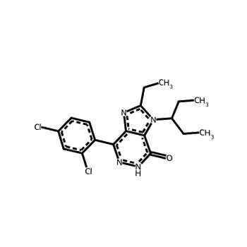 CCc1nc2c(-c3ccc(Cl)cc3Cl)n[nH]c(=O)c2n1C(CC)CC